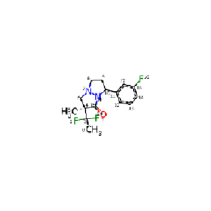 CC(F)(F)[C@@]1(C)CN2CC[C@@H](c3cccc(F)c3)N2C1=O